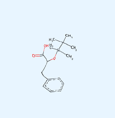 CC(C)(C)[Si](C)(C)OC(Cc1ccccc1)C(=O)O